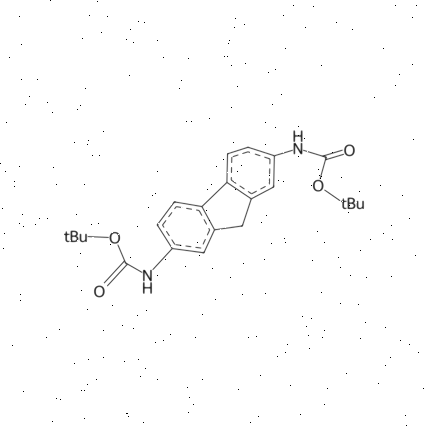 CC(C)(C)OC(=O)Nc1ccc2c(c1)Cc1cc(NC(=O)OC(C)(C)C)ccc1-2